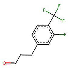 O=[C]C=Cc1ccc(C(F)(F)F)c(F)c1